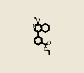 CCOC(=O)c1cccc(-c2cnc(OC)c3c2CCCC3)c1